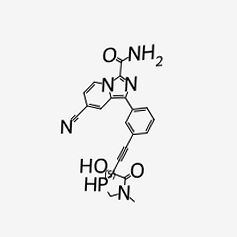 CN1CP[C@@](O)(C#Cc2cccc(-c3nc(C(N)=O)n4ccc(C#N)cc34)c2)C1=O